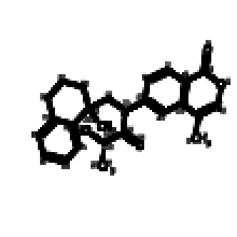 Cc1noc(=O)c2ccc(N(CC3(C)CCCc4ccccc43)C(=O)[C@@H](O)C(F)(F)F)cc12